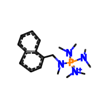 CN(C)P(N(C)C)(N(C)Cc1cccc2ccccc12)=[N+](C)C